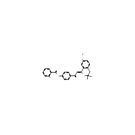 COc1ccc2c(c1)/C(=C/C(=O)c1ccc(NC(=O)c3ccccc3F)cc1)NC(C)(C)C2